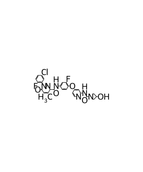 Cc1cc(=O)n(-c2cc(Cl)ccc2F)nc1C(=O)Nc1ccc(Oc2ccnc(NC(=O)N3CC(O)C3)c2)c(F)c1